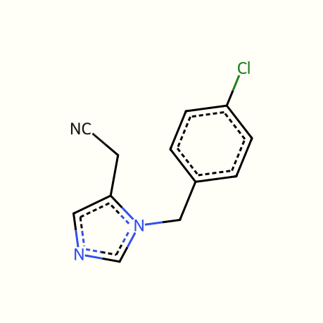 N#CCc1cncn1Cc1ccc(Cl)cc1